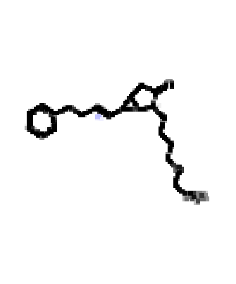 CCOC(=O)COCCCC[C@@H]1C(=O)CC2C(/C=C/CCc3ccccc3)C21